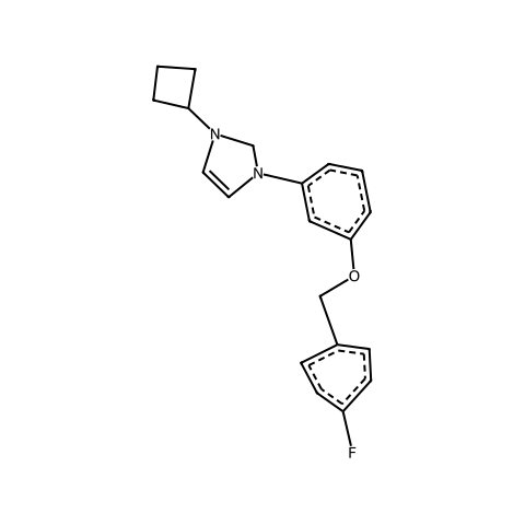 Fc1ccc(COc2cccc(N3C=CN(C4CCC4)C3)c2)cc1